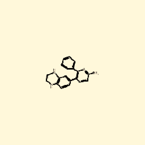 Nc1cnc(-c2ccc3c(c2)NCCN3)c(-c2ccccc2)n1